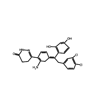 NC1=C(C2=NNC(=O)CC2)C=CC(=C(Cc2ccc(Cl)c(Cl)c2)c2ccc(O)cc2O)C1